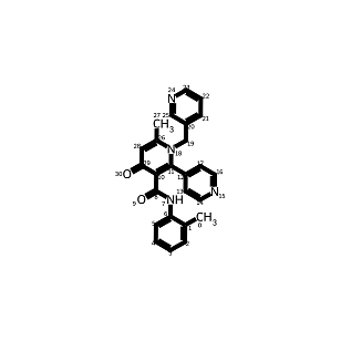 Cc1ccccc1NC(=O)c1c(-c2ccncc2)n(Cc2cccnc2)c(C)cc1=O